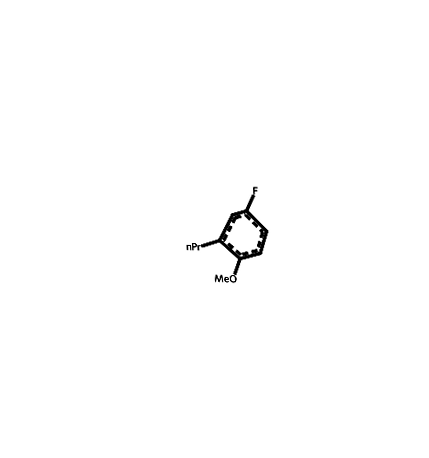 CCCc1cc(F)ccc1OC